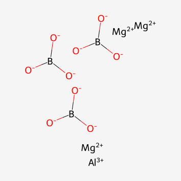 [Al+3].[Mg+2].[Mg+2].[Mg+2].[O-]B([O-])[O-].[O-]B([O-])[O-].[O-]B([O-])[O-]